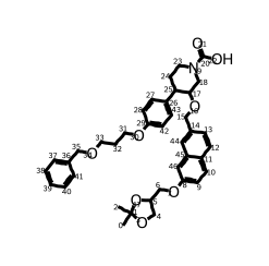 CC1(C)OCC(COc2ccc3ccc(COC4CN(C(=O)O)CCC4c4ccc(OCCCOCc5ccccc5)cc4)cc3c2)O1